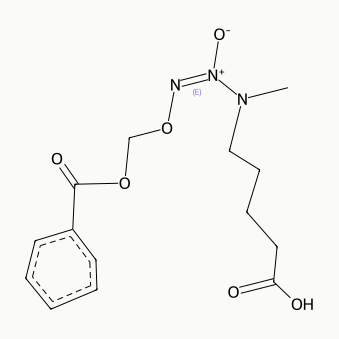 CN(CCCCC(=O)O)/[N+]([O-])=N\OCOC(=O)c1ccccc1